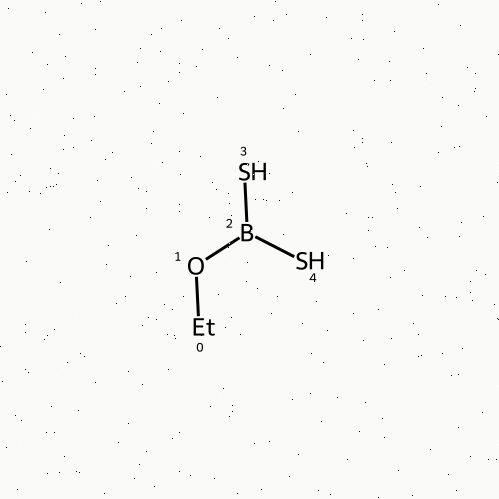 CCOB(S)S